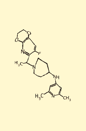 Cc1cc(NC2CCN(C(C)c3nc4c(cc3F)OCCO4)CC2)cc(C)n1